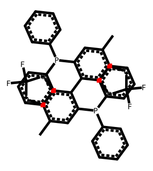 Cc1cc(P(c2ccccc2)c2ccccc2)c(-c2c(P(c3ccccc3)c3ccccc3)cc(C)c3c2OC(F)(F)O3)c2c1OC(F)(F)O2